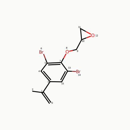 C=C(C)c1cc(Br)c(OCC2CO2)c(Br)c1